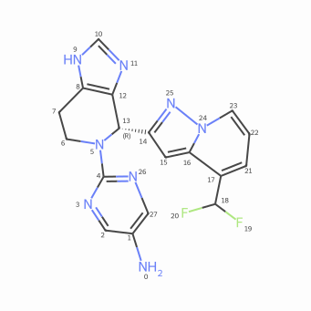 Nc1cnc(N2CCc3[nH]cnc3[C@@H]2c2cc3c(C(F)F)cccn3n2)nc1